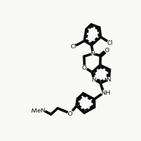 CNCCOc1ccc(Nc2ncc3c(n2)OCN(c2c(Cl)cccc2Cl)C3=O)cc1